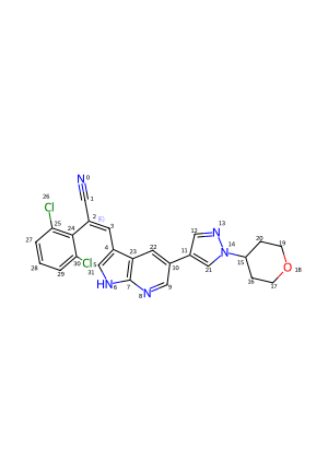 N#C/C(=C/c1c[nH]c2ncc(-c3cnn(C4CCOCC4)c3)cc12)c1c(Cl)cccc1Cl